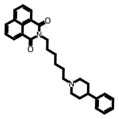 O=C1c2cccc3cccc(c23)C(=O)N1CCCCCCN1CCC(c2ccccc2)CC1